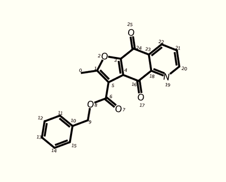 Cc1oc2c(c1C(=O)OCc1ccccc1)C(=O)c1ncccc1C2=O